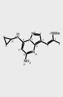 CN/C(C)=C\c1cnn2c(NC3CC3)cc(N)nc12